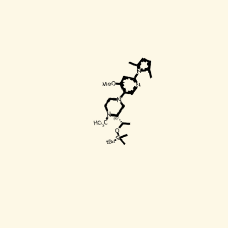 COc1cc(-n2c(C)ccc2C)ncc1N1CCN(C(=O)O)[C@@H](C(C)O[Si](C)(C)C(C)(C)C)C1